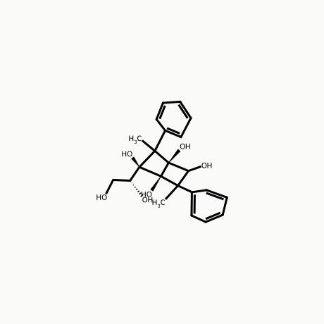 CC1(c2ccccc2)C(O)[C@@]2(O)C(C)(c3ccccc3)[C@@](O)([C@H](O)CO)[C@@]12O